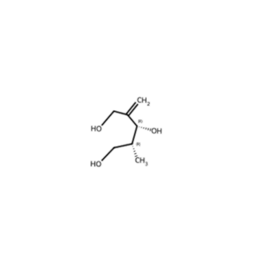 C=C(CO)[C@H](O)[C@H](C)CO